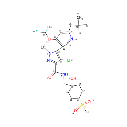 CCn1nc(C(=O)NC[C@]2(O)CC[C@@H](S(C)(=O)=O)CC2)c(Cl)c1-c1cnc(CC(C)(C)C(F)(F)F)cc1OC(F)F